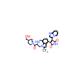 O=C1NC(=O)C(c2cnc3ccccn23)=C1c1ccc2c3c1cc(C(F)(F)F)n3CC(C(=O)N1CCC(CO)CC1)NC2